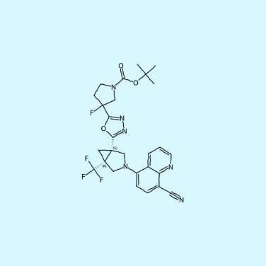 CC(C)(C)OC(=O)N1CCC(F)(c2nnc([C@]34CN(c5ccc(C#N)c6ncccc56)C[C@@]3(C(F)(F)F)C4)o2)C1